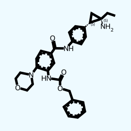 CC[C@]1(N)C[C@H]1c1ccc(NC(=O)c2ccc(N3CCOCC3)c(NC(=O)OCc3ccccc3)c2)cc1